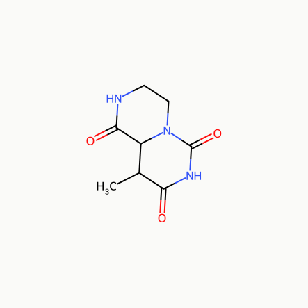 CC1C(=O)NC(=O)N2CCNC(=O)C12